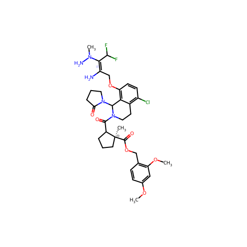 COc1ccc(COC(=O)[C@@]2(C)CCCC2C(=O)N2CCc3c(Cl)ccc(OC/C(N)=C(\C(F)F)N(C)N)c3C2N2CCCC2=O)c(OC)c1